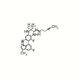 CC#CCCNN=C1Nc2c(cc(F)c(-c3cc(F)cc4c(C)c[nH]c34)c2F)NC1(C)C